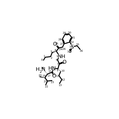 CCCC[C@H](NCC(=O)[C@H](CCCC)NC(=O)[C@@H](N)[C@H](C)C(C)C)C(=O)Cc1ccccc1S(=S)CC